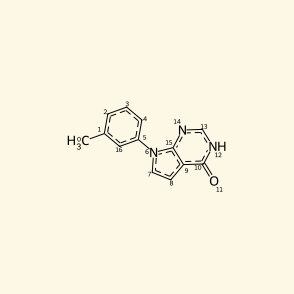 Cc1cccc(-n2ccc3c(=O)[nH]cnc32)c1